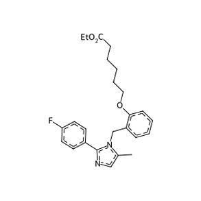 CCOC(=O)CCCCCOc1ccccc1Cn1c(C)cnc1-c1ccc(F)cc1